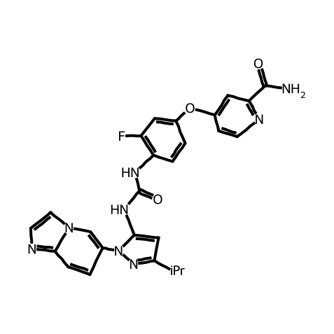 CC(C)c1cc(NC(=O)Nc2ccc(Oc3ccnc(C(N)=O)c3)cc2F)n(-c2ccc3nccn3c2)n1